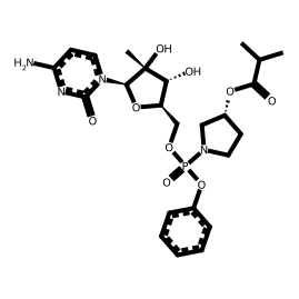 CC(C)C(=O)O[C@@H]1CCN(P(=O)(OC[C@H]2O[C@@H](n3ccc(N)nc3=O)[C@](C)(O)[C@@H]2O)Oc2ccccc2)C1